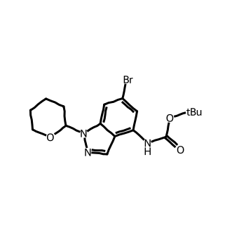 CC(C)(C)OC(=O)Nc1cc(Br)cc2c1cnn2C1CCCCO1